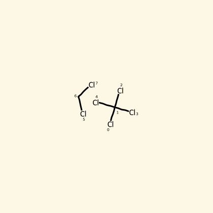 ClC(Cl)(Cl)Cl.ClCCl